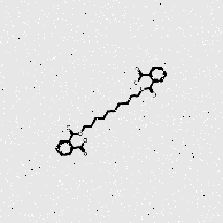 O=C(Cl)c1ccccc1C(=O)OCCCCCCCCCCOC(=O)c1ccccc1C(=O)Cl